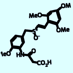 COc1cc(OC)c(/C=C/[S+]([O-])Cc2ccc(OC)c(NC(=O)CC(=O)O)c2)c(OC)c1